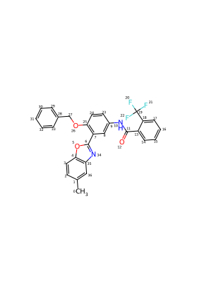 Cc1ccc2oc(-c3cc(NC(=O)c4ccccc4C(F)(F)F)ccc3OCc3ccccc3)nc2c1